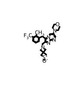 Cc1c(Cc2c(CN3CC4(C3)C[S+]([O-])C4)nc3ncc(N4CCOCC4)cn23)cccc1C(F)(F)F